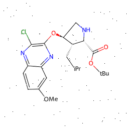 COc1ccc2nc(Cl)c(O[C@H]3CN[C@H](C(=O)OC(C)(C)C)[C@@H]3CC(C)C)nc2c1